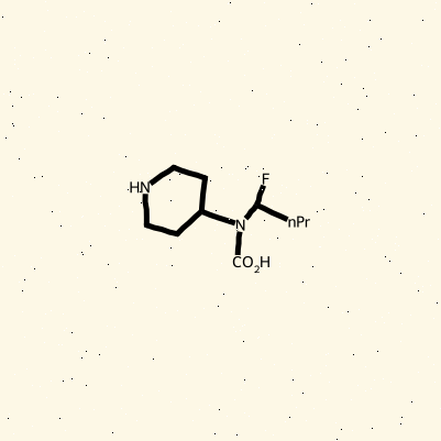 CCCC(F)N(C(=O)O)C1CCNCC1